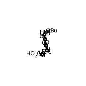 CC(C)(C)OC(=O)N[C@@H]1CC(=O)N(c2ccc(S(=O)(=O)N3CCN(c4cc(C(F)(F)[C@@H]5CN(C(=O)O)CCO5)cc(Cl)n4)CC3)cc2)C1